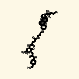 CC(C)CCC[C@@H](C)[C@H]1CC[C@H]2[C@@H]3CC=C4C[C@@H](OCCCNC(=O)CCC(=O)N[C@@H](CC(C)N)C(=O)NCC(=O)Nc5ccc(CO)cc5)CC[C@]4(C)[C@H]3CC[C@]12C